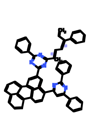 C=C/C(=C\C=C(/C)c1nc(-c2ccccc2)nc(-c2cccc(-c3cccc4cccc(-c5ccc(-c6cc(-c7ccccc7)nc(-c7ccccc7)n6)cc5)c34)c2)n1)c1ccccc1